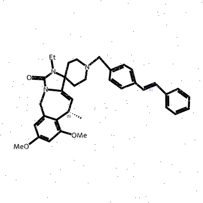 CCN1C(=O)N2Cc3cc(OC)cc(OC)c3[C@@H](C)C=C2C12CCN(Cc1ccc(/C=C/c3ccccc3)cc1)CC2